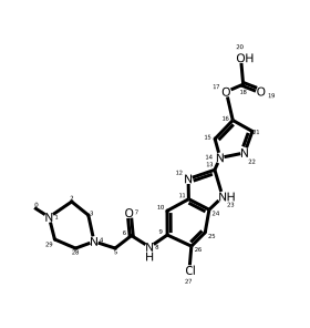 CN1CCN(CC(=O)Nc2cc3nc(-n4cc(OC(=O)O)cn4)[nH]c3cc2Cl)CC1